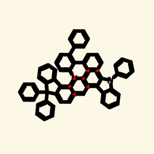 c1ccc(-c2ccccc2-c2c(-c3ccccc3)cccc2N(c2ccc3c(c2)c2ccccc2n3-c2ccccc2)c2cccc3c2-c2ccccc2C3(c2ccccc2)c2ccccc2)cc1